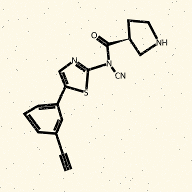 C#Cc1cccc(-c2cnc(N(C#N)C(=O)[C@H]3CCNC3)s2)c1